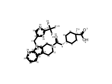 C[C@]1(C(=O)O)CC[C@H](CC(=O)N2CCc3c(n(Cc4cnc(C(F)(F)F)s4)c4ncccc34)C2)CC1